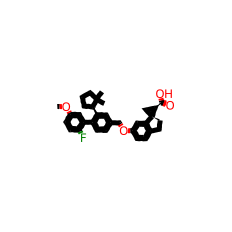 COc1ccc(F)c(-c2ccc(COc3ccc4c(c3)[C@@]3(CC4)C[C@@H]3C(=O)O)cc2[C@H]2CCCC2(C)C)c1